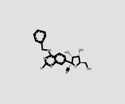 N#C[C@@]1(c2ccc3c(NCc4ccccc4)nc(Cl)nc3c2)O[C@H](CO)[C@@H](O)[C@H]1O